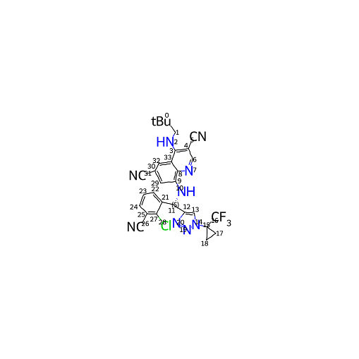 CC(C)(C)CNc1c(C#N)cnc2c(N[C@H](c3cn(C4(C(F)(F)F)CC4)nn3)c3cccc(C#N)c3Cl)cc(C#N)cc12